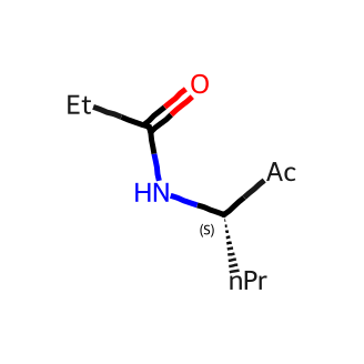 CCC[C@H](NC(=O)CC)C(C)=O